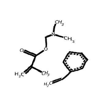 C=C(C)C(=O)OCN(C)C.C=Cc1ccccc1